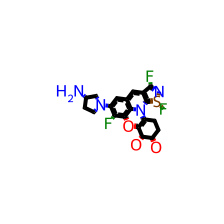 NC1CCN(c2cc3cc4c(n5c6c(oc(c2F)c3-5)C(=O)C(=O)CC6)=S(F)N=C4F)C1